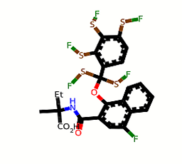 CCC(C)(NC(=O)c1cc(F)c2ccccc2c1OC(SF)(SF)c1ccc(SF)c(SF)c1SF)C(=O)O